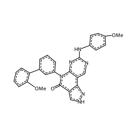 COc1ccc(Nc2ncc3c4n[nH]cc4c(=O)n(-c4cccc(-c5ccccc5OC)c4)c3n2)cc1